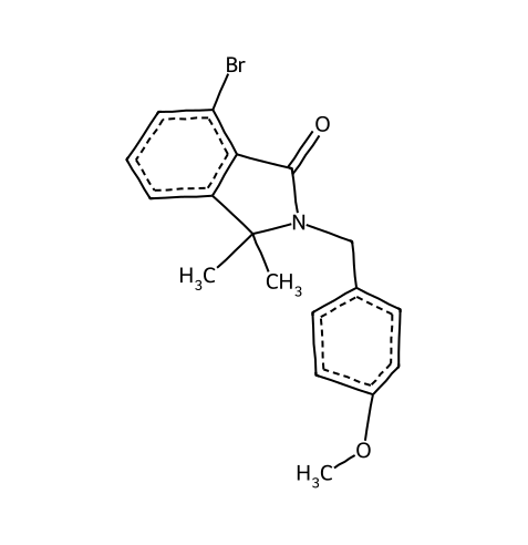 COc1ccc(CN2C(=O)c3c(Br)cccc3C2(C)C)cc1